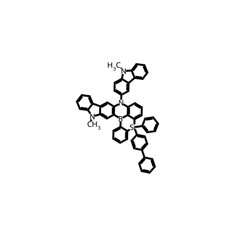 Cn1c2ccccc2c2cc(N3c4cc5c6ccccc6n(C)c5cc4B4c5ccccc5[Si](c5ccccc5)(c5ccc(-c6ccccc6)cc5)c5cccc3c54)ccc21